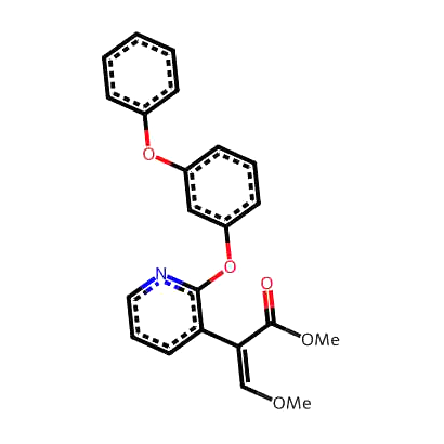 COC=C(C(=O)OC)c1cccnc1Oc1cccc(Oc2ccccc2)c1